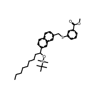 CCCCCCCCC(O[Si](C)(C)C(C)(C)C)c1ccc2ccc(CSc3cccc(C(=O)OC)c3)cc2c1